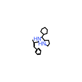 CC(=Cc1ccccc1)CNC(C1CCCCC1)C1CCCN1